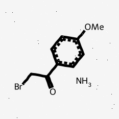 COc1ccc(C(=O)CBr)cc1.N